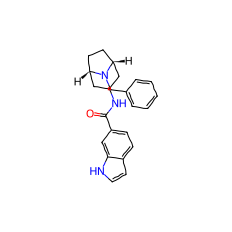 O=C(NC1C[C@H]2CC[C@@H](C1)N2Cc1ccccc1)c1ccc2cc[nH]c2c1